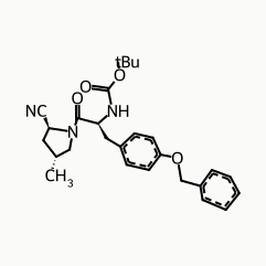 C[C@@H]1C[C@@H](C#N)N(C(=O)[C@H](Cc2ccc(OCc3ccccc3)cc2)NC(=O)OC(C)(C)C)C1